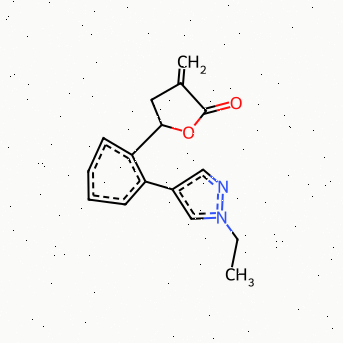 C=C1CC(c2ccccc2-c2cnn(CC)c2)OC1=O